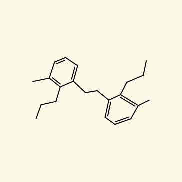 CCCc1c(C)cccc1CCc1cccc(C)c1CCC